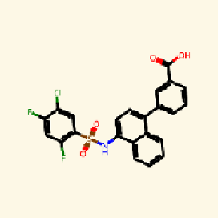 O=C(O)c1cccc(-c2ccc(NS(=O)(=O)c3cc(Cl)c(F)cc3F)c3ccccc23)c1